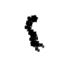 CC(F)(P)c1cccc(C(=O)Nc2ccc3nn(CCC(=O)N4CCN(C(=O)c5ccccc5)CC4)cc3c2)n1